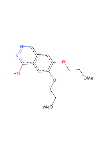 COCCOc1cc2cnnc(O)c2cc1OCCOC